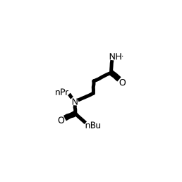 CCCCC(=O)N(CCC)CCC([NH])=O